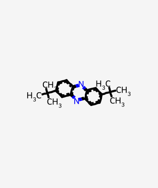 CC(C)(C)c1ccc2nc3cc(C(C)(C)C)ccc3nc2c1